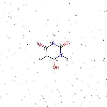 CC1C(=O)N(C)C(=O)N(C)C1O